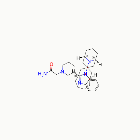 NC(=O)CN1CCCC(c2nc3ccccc3n2C2C[C@H]3CCC[C@@H](C2)N3C2C[C@H]3CCCC[C@@H](C2)C3)C1